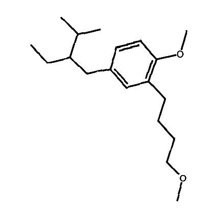 CCC(Cc1ccc(OC)c(CCCCOC)c1)C(C)C